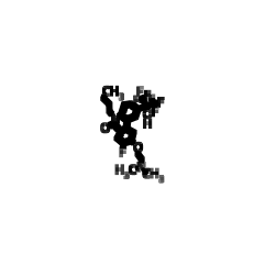 CCCCn1c(=O)c2cc(F)c(OCCN(C)C)cc2c2cc(C(O)(C(F)(F)F)C(F)(F)F)ccc21